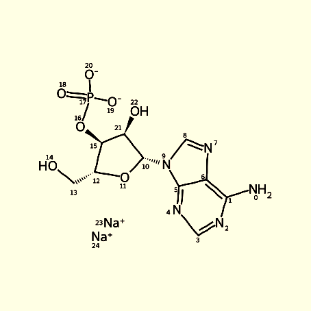 Nc1ncnc2c1ncn2[C@@H]1O[C@H](CO)[C@@H](OP(=O)([O-])[O-])[C@H]1O.[Na+].[Na+]